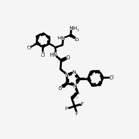 NC(=O)NCC(NC(=O)Cn1nc(-c2ccc(Cl)cc2)n(/C=C/C(F)(F)F)c1=O)c1cccc(Cl)c1Cl